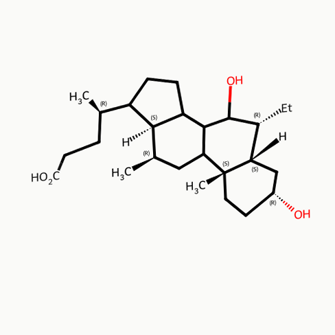 CC[C@H]1C(O)C2C3CCC([C@H](C)CCC(=O)O)[C@@H]3[C@H](C)CC2[C@@]2(C)CC[C@@H](O)C[C@@H]12